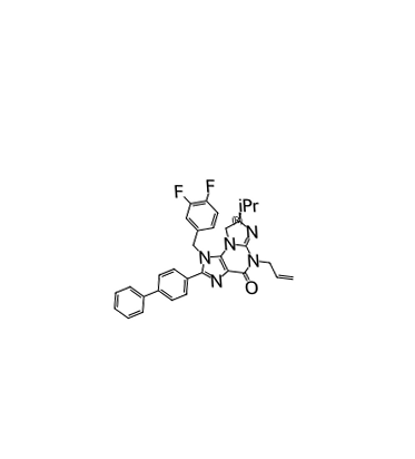 C=CCN1C(=O)c2nc(-c3ccc(-c4ccccc4)cc3)n(Cc3ccc(F)c(F)c3)c2N2C[C@@H](C(C)C)N=C12